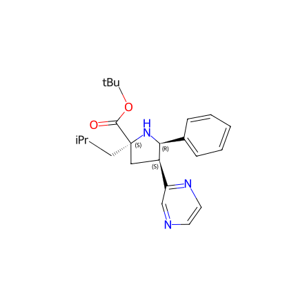 CC(C)C[C@@]1(C(=O)OC(C)(C)C)C[C@H](c2cnccn2)[C@H](c2ccccc2)N1